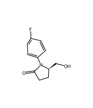 O=C1CC[C@H](CO)N1c1ccc(F)cc1